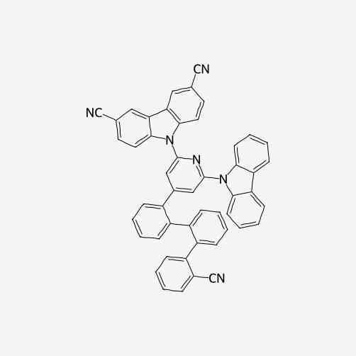 N#Cc1ccc2c(c1)c1cc(C#N)ccc1n2-c1cc(-c2ccccc2-c2ccccc2-c2ccccc2C#N)cc(-n2c3ccccc3c3ccccc32)n1